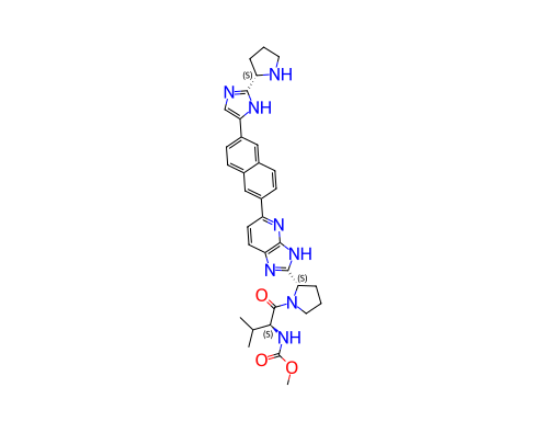 COC(=O)N[C@H](C(=O)N1CCC[C@H]1c1nc2ccc(-c3ccc4cc(-c5cnc([C@@H]6CCCN6)[nH]5)ccc4c3)nc2[nH]1)C(C)C